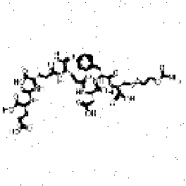 NC(=O)OCCSSC[C@H](NC(=O)[C@H](Cc1ccccc1)NC(=O)[C@H](CC(=O)O)NC(=O)CC[C@H](NC(=O)CC[C@H](NC(=S)N[C@@H](CCC(=O)O)C(=O)O)C(=O)O)C(=O)O)C(=O)O